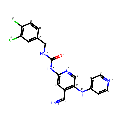 N=Cc1cc(NC(=O)NCc2ccc(Cl)c(Cl)c2)ncc1Nc1ccncc1